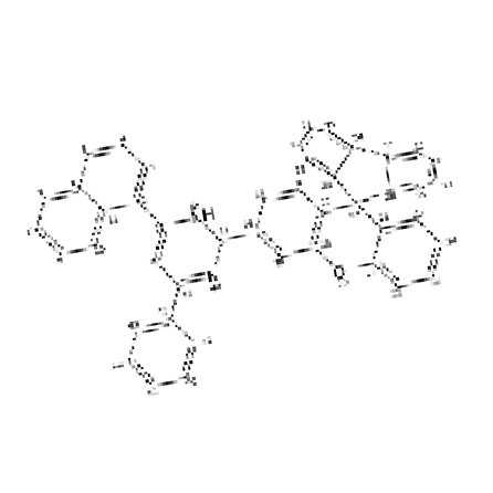 C1=C(c2cccc3ccccc23)NC(c2ccc3c(c2)Oc2ccccc2C32c3ccccc3-c3ccccc32)N=C1c1ccccc1